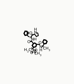 C[C@@H](NC(=O)c1cc(C(=O)N[C@@H](Cc2ccccc2)[C@H](O)C2CCCN2)cc(N(C)S(C)(=O)=O)c1)c1ccccc1